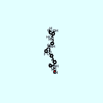 O=C(N[C@@H](c1ccccc1)c1cccc(OCc2ccc(C(=O)OCCN(Cc3ccc(F)cc3)C(=O)Nc3ccc(CNC[C@H](O)c4ccc(O)c5[nH]c(=O)ccc45)cc3)cc2)c1)O[C@H]1CN2CCC1CC2